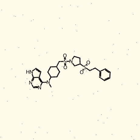 CN(c1ncnc2[nH]ccc12)C1CCC(CS(=O)(=O)N2CCC(S(=O)(=O)CCc3ccccc3)C2)CC1